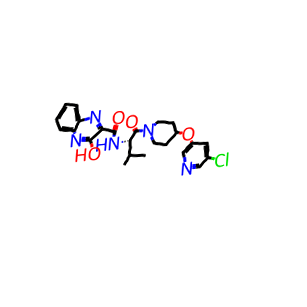 CC(C)[C@H](NC(=O)c1nc2ccccc2nc1O)C(=O)N1CCC(Oc2cncc(Cl)c2)CC1